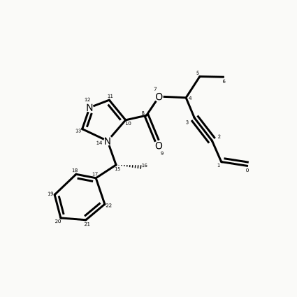 C=CC#CC(CC)OC(=O)c1cncn1[C@H](C)c1ccccc1